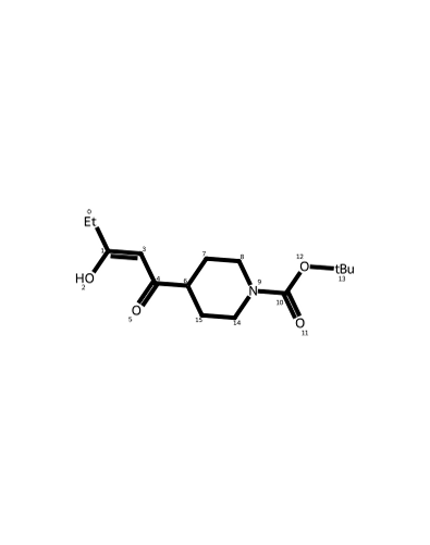 CCC(O)=CC(=O)C1CCN(C(=O)OC(C)(C)C)CC1